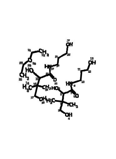 CC(C)(CO)C(O)C(=O)NCCCO.CC(C)(CO)C(O)C(=O)NCCCO.CCOCC